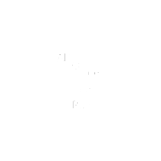 [Al+3].[O-2].[O-2].[O-2].[Ru+3]